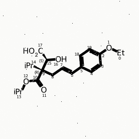 CCOc1ccc(C=CC[C@@](C(=O)OC(C)C)(C(C)C)[C@H](O)C(=O)O)cc1